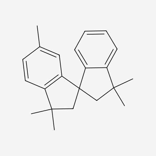 Cc1ccc2c(c1)C1(CC(C)(C)c3ccccc31)CC2(C)C